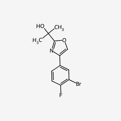 CC(C)(O)c1nc(-c2ccc(F)c(Br)c2)co1